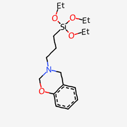 CCO[Si](CCCN1COc2ccccc2C1)(OCC)OCC